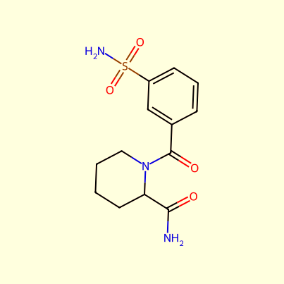 NC(=O)C1CCCCN1C(=O)c1cccc(S(N)(=O)=O)c1